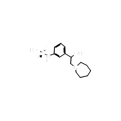 CS(=O)(=O)Nc1cccc(C(O)CN2CCCCCC2)c1